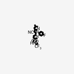 Cc1cnc2c(c1)c(C#N)c(-c1ccc(S(=O)(=O)N[C@@H](C)C(F)(F)F)cn1)n2-c1ccc(F)cc1